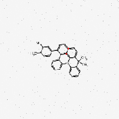 CC1C=CC(c2ccccc2-c2ccccc2N2c3ccccc3C(C)(C)c3ccccc32)=CC1C#N